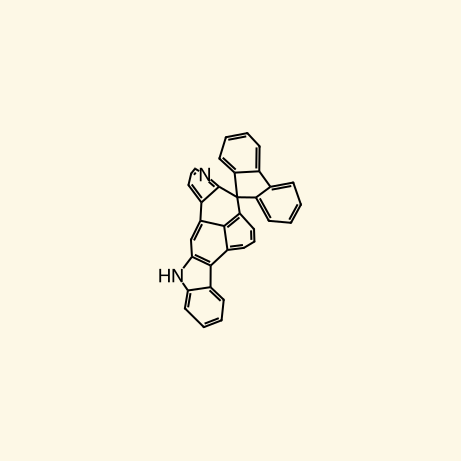 c1ccc2c(c1)-c1ccccc1C21c2ncccc2-c2cc3[nH]c4ccccc4c3c3cccc1c23